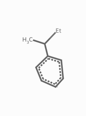 CCC(C)c1cc[c]cc1